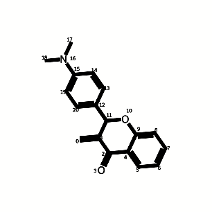 C=C1C(=O)c2ccccc2OC1c1ccc(N(C)C)cc1